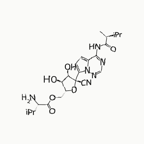 CC(C)[C@H](C)C(=O)Nc1ncnn2c([C@]3(C#N)O[C@H](COC(=O)[C@@H](N)C(C)C)[C@@H](O)[C@H]3O)ccc12